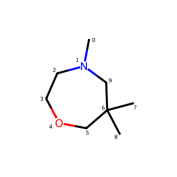 CN1CCOCC(C)(C)C1